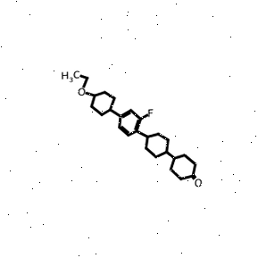 CCOC1CCC(c2ccc(C3CCC(C4CCC(=O)CC4)CC3)c(F)c2)CC1